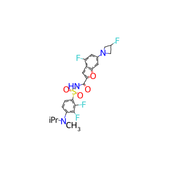 CC(C)N(C)c1ccc(S(=O)(=O)NC(=O)c2cc3c(F)cc(N4CC(F)C4)cc3o2)c(F)c1F